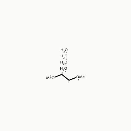 COCCOC.O.O.O.O